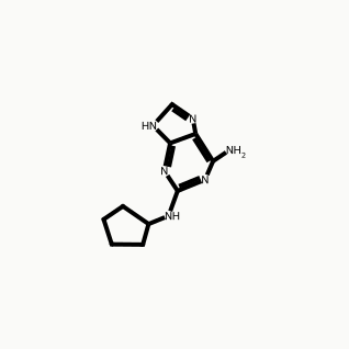 Nc1nc(NC2CCCC2)nc2[nH]cnc12